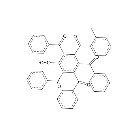 Cc1ccccc1C(=O)c1c(C(=O)c2ccccc2)c([C]=O)c(C(=O)c2ccccc2)c(C(=O)c2ccccc2)c1C(=O)c1ccccc1